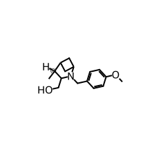 COc1ccc(CN2C3CC(C3)[C@@H](C)C2CO)cc1